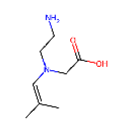 CC(C)=CN(CCN)CC(=O)O